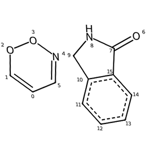 C1=COON=C1.O=C1NCc2ccccc21